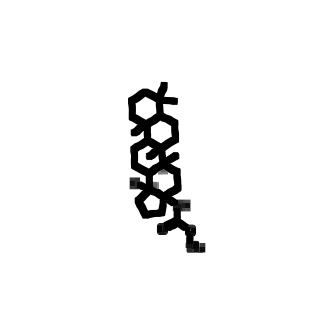 CC(C)(C)OC(=O)NC12CCC[C@@H]1C1CCC3C4(C)CCCC(C)(C)C4CCC3(C)[C@]1(C)CC2